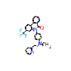 CN(CCc1ccccn1)c1ccc(NC(=O)c2ccccc2-c2ccc(C(F)(F)F)cc2)cc1